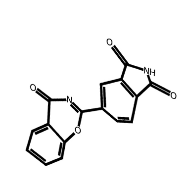 O=C1NC(=O)c2cc(-c3nc(=O)c4ccccc4o3)ccc21